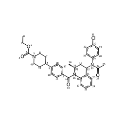 CCOC(=O)N1CCC(c2ccc(C(=O)N3c4ccccc4C(N(C(C)=O)c4ccc(Cl)cc4)C[C@@H]3C)cc2)CC1